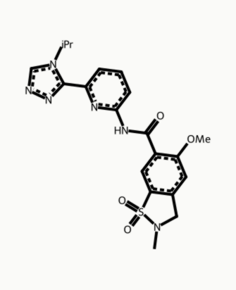 COc1cc2c(cc1C(=O)Nc1cccc(-c3nncn3C(C)C)n1)S(=O)(=O)N(C)C2